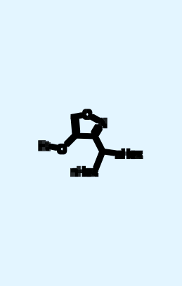 CCCCCCC(CCCCCC)c1nocc1OCC